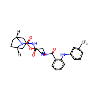 C=CCOC(=O)N1[C@@H]2CC[C@H]1C[C@H](NC(=O)CNC(=O)c1ccccc1Nc1cccc(C(F)(F)F)c1)C2